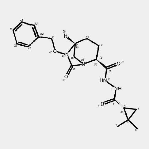 CC1(C)C[C@H]1C(=O)NNC(=O)[C@@H]1CC[C@@H]2CN1C(=O)N2OCc1ccccc1